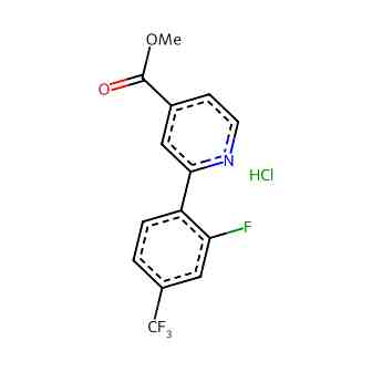 COC(=O)c1ccnc(-c2ccc(C(F)(F)F)cc2F)c1.Cl